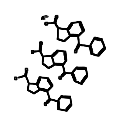 O=C(c1ccccc1)c1cccc2c1CCC2C(=O)[O-].O=C(c1ccccc1)c1cccc2c1CCC2C(=O)[O-].O=C(c1ccccc1)c1cccc2c1CCC2C(=O)[O-].[Al+3]